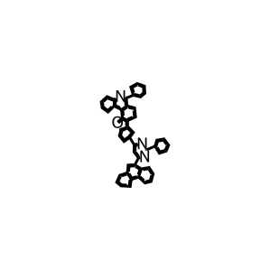 c1ccc(-c2nc(-c3ccc4oc5c(ccc6c(-c7ccccc7)nc7ccccc7c65)c4c3)cc(-c3cc4ccccc4c4ccccc34)n2)cc1